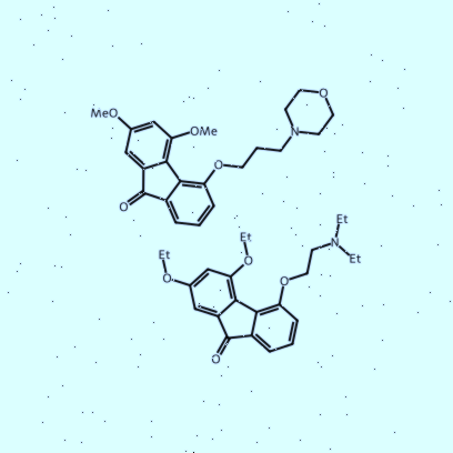 CCOc1cc(OCC)c2c(c1)C(=O)c1cccc(OCCN(CC)CC)c1-2.COc1cc(OC)c2c(c1)C(=O)c1cccc(OCCCN3CCOCC3)c1-2